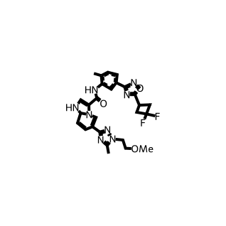 COCCn1nc(C2=CN3C(C(=O)Nc4cc(-c5noc(C6CC(F)(F)C6)n5)ccc4C)=CNC3C=C2)nc1C